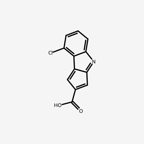 O=C(O)C1=CC2=Nc3cccc(Cl)c3C2=C1